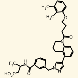 Cc1cccc(OCCCC(=O)N2CCCc3c(-c4cnn(Cc5cccc(C(=O)NC(CC(=O)O)C(F)(F)F)c5)c4)cccc32)c1C